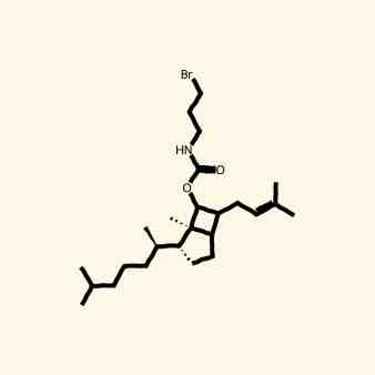 CC(C)=CCC1C2CC[C@H]([C@H](C)CCCC(C)C)[C@@]2(C)C1OC(=O)NCCCBr